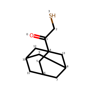 O=C(CS)C12CC3CC(CC(C3)C1)C2